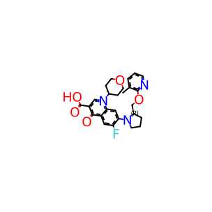 Cc1cccnc1OC[C@H]1CCCN1c1cc2c(cc1F)c(=O)c(C(=O)O)cn2C1CCOCC1